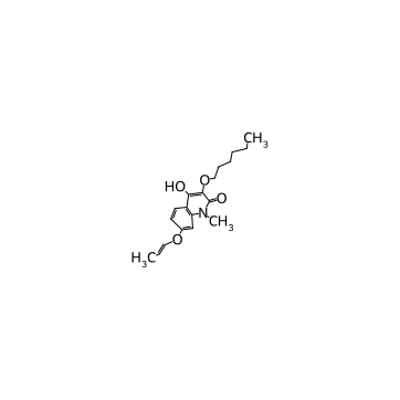 CC=COc1ccc2c(O)c(OCCCCCC)c(=O)n(C)c2c1